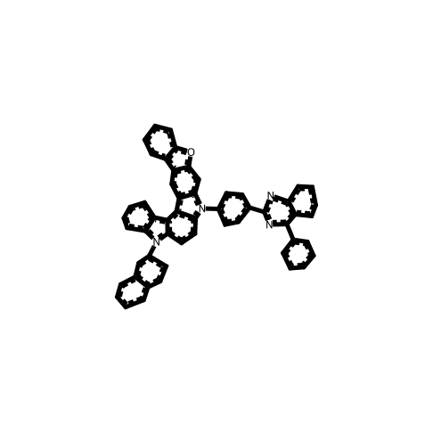 c1ccc(-c2nc(-c3ccc(-n4c5cc6oc7ccccc7c6cc5c5c6c7ccccc7n(-c7ccc8ccccc8c7)c6ccc54)cc3)nc3ccccc23)cc1